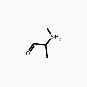 C[SiH2]C(C)C=O